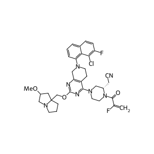 C=C(F)C(=O)N1CCN(c2nc(OCC34CCCN3CC(OC)C4)nc3c2CCN(c2cccc4ccc(F)c(Cl)c24)C3)C[C@@H]1CC#N